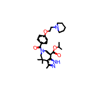 Cc1n[nH]c2c1C(C)(C)CN(C(=O)c1ccc(OCCN3CCCCC3)cc1)C=C2C(=O)OC(C)C